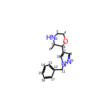 CC1NCCOC1c1cnn(Cc2ccccc2)c1